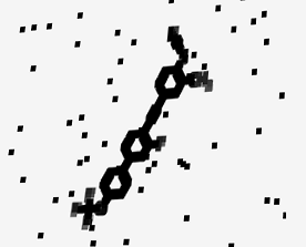 Cc1cc(C#Cc2ccc(-c3ccc(OC(F)(F)F)cc3)cc2F)ccc1SC#N